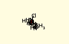 COc1ncc(F)cc1C1CCCN1C1=N[C@@H]2N(C=C1)N=CC2(C)C(=O)NCCCCl